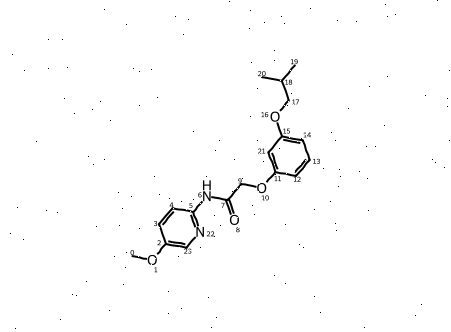 COc1ccc(NC(=O)COc2cccc(OCC(C)C)c2)nc1